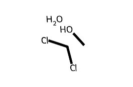 CO.ClCCl.O